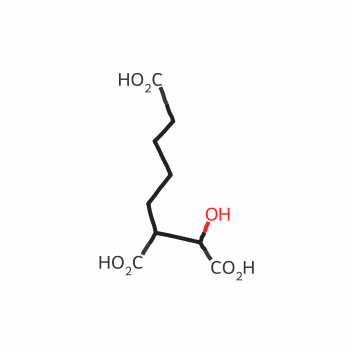 O=C(O)CCCCC(C(=O)O)C(O)C(=O)O